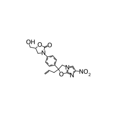 C=CCC1(c2ccc(N3CC(CO)OC3=O)cc2)Cn2cc([N+](=O)[O-])nc2O1